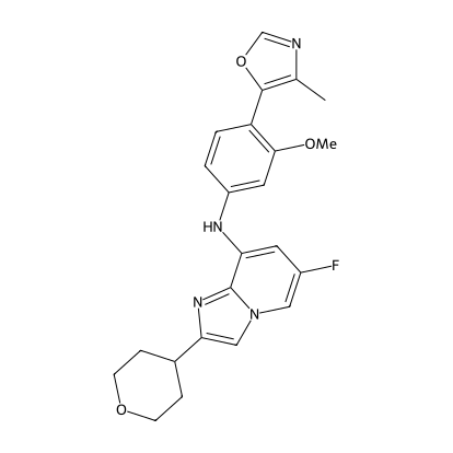 COc1cc(Nc2cc(F)cn3cc(C4CCOCC4)nc23)ccc1-c1ocnc1C